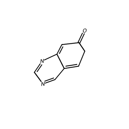 O=C1C=c2ncncc2=CC1